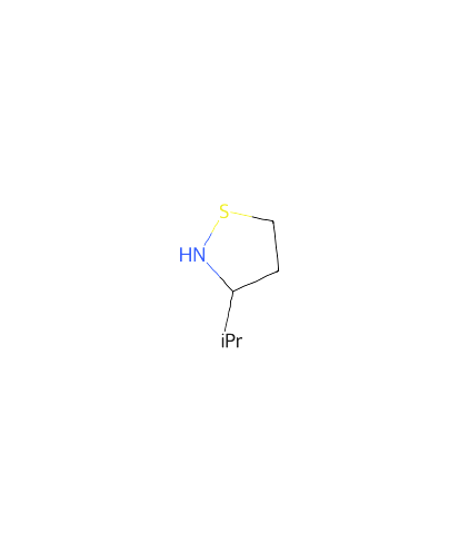 CC(C)C1CCSN1